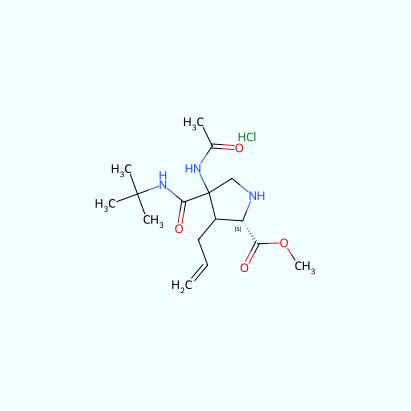 C=CCC1[C@@H](C(=O)OC)NCC1(NC(C)=O)C(=O)NC(C)(C)C.Cl